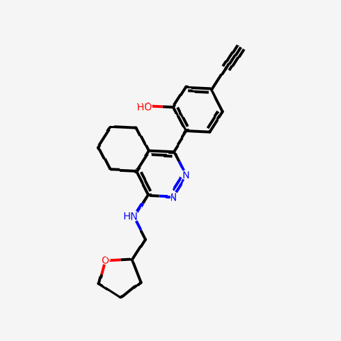 C#Cc1ccc(-c2nnc(NCC3CCCO3)c3c2CCCC3)c(O)c1